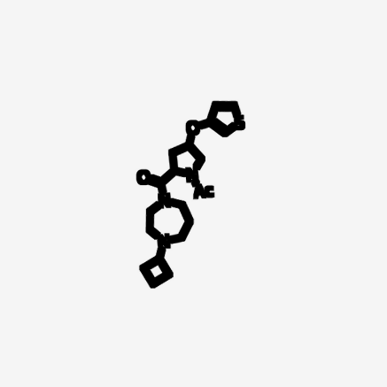 CC(=O)N1CC(Oc2ccsc2)CC1C(=O)N1CCCN(C2CCC2)CC1